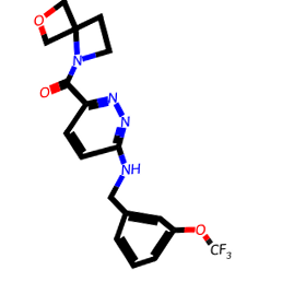 O=C(c1ccc(NCc2cccc(OC(F)(F)F)c2)nn1)N1CCC12COC2